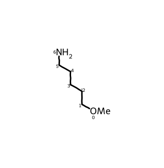 COC[CH]CCCN